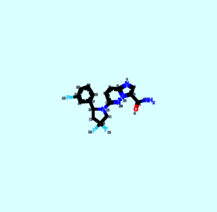 NC(=O)c1cnc2ccc(N3CC(F)(F)CC3c3cccc(F)c3)nn12